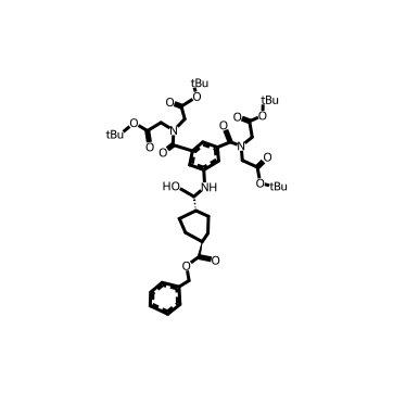 CC(C)(C)OC(=O)CN(CC(=O)OC(C)(C)C)C(=O)c1cc(NC(O)[C@H]2CC[C@H](C(=O)OCc3ccccc3)CC2)cc(C(=O)N(CC(=O)OC(C)(C)C)CC(=O)OC(C)(C)C)c1